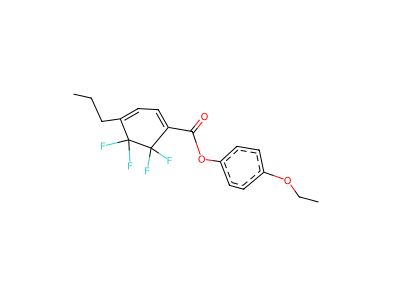 CCCC1=CC=C(C(=O)Oc2ccc(OCC)cc2)C(F)(F)C1(F)F